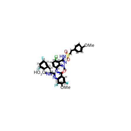 COc1ccc(CCS(=O)(=O)Nc2nn(C)c3c(-n4c([C@H](Cc5cc(F)cc(F)c5)NC(=O)O)nc5c(F)c(OC)c(F)cc5c4=O)ccc(Cl)c23)cc1